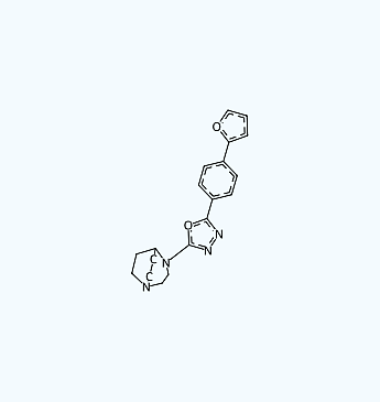 c1coc(-c2ccc(-c3nnc(N4CCN5CCC4CC5)o3)cc2)c1